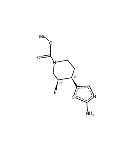 CC(C)(C)OC(=O)N1CC[C@@H](c2cnc(N)s2)[C@@H](F)C1